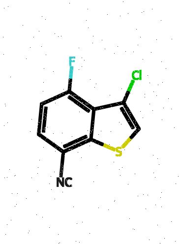 [C-]#[N+]c1ccc(F)c2c(Cl)csc12